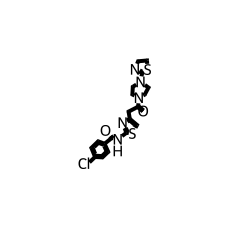 O=C(Nc1nc(CC(=O)N2CCN(C3=NCCS3)CC2)cs1)c1ccc(Cl)cc1